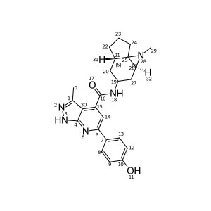 Cc1n[nH]c2nc(-c3ccc(O)cc3)cc(C(=O)NC3C[C@@H]4CCCC45[C@H](C3)N5C)c12